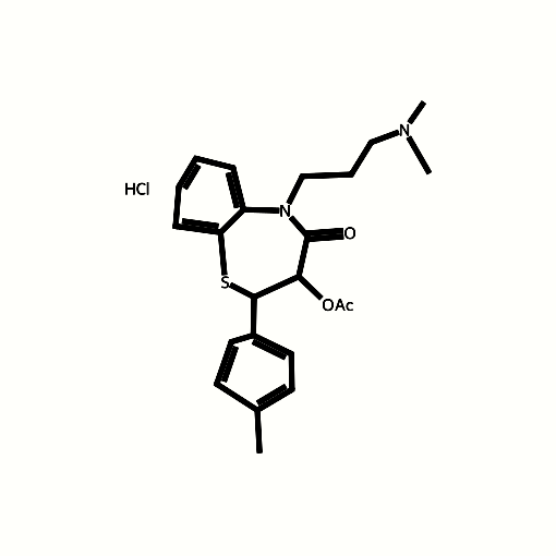 CC(=O)OC1C(=O)N(CCCN(C)C)c2ccccc2SC1c1ccc(C)cc1.Cl